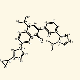 CC(C)n1cnnc1-c1cccc(-c2cn(C(C)C)c3ccc(-n4cnc(C5CC5)c4)cc3c2=O)n1